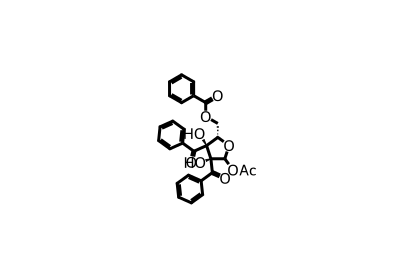 CC(=O)OC1O[C@@H](COC(=O)c2ccccc2)[C@@](O)(C(=O)c2ccccc2)[C@@]1(O)C(=O)c1ccccc1